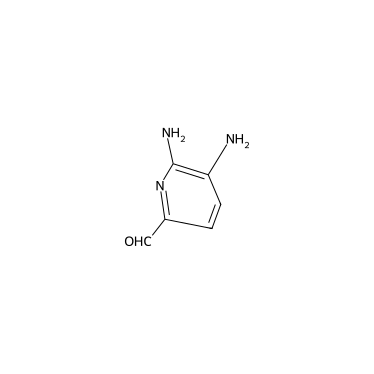 Nc1ccc(C=O)nc1N